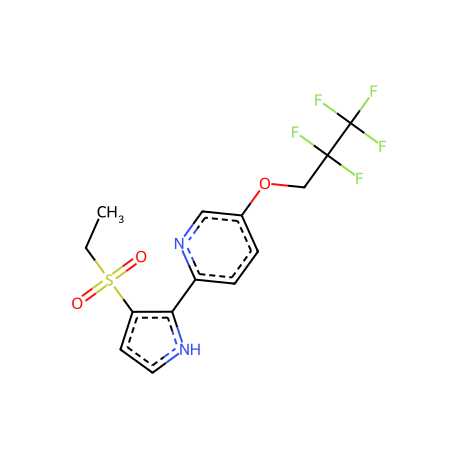 CCS(=O)(=O)c1cc[nH]c1-c1ccc(OCC(F)(F)C(F)(F)F)cn1